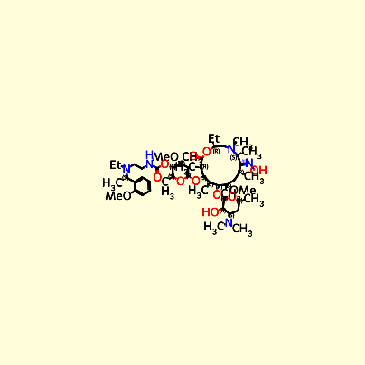 CC[C@@H]1CN(C)[C@@H](C)/C(=N/O)[C@H](C)C[C@](C)(OC)[C@H](O[C@@H]2O[C@H](C)C[C@H](N(C)C)[C@H]2O)[C@@H](C)[C@H](O[C@H]2C[C@@](C)(OC)[C@@H](OC(=O)NCCN(CC)[C@@H](C)c3ccccc3OC)[C@H](C)O2)[C@@H](C)C(=O)O1